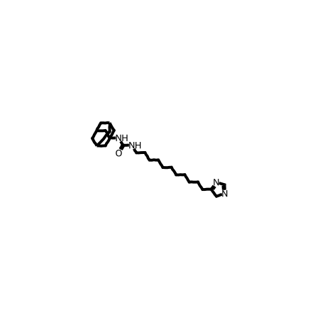 O=C(NCCCCCCCCCCCC1=NC=NC1)NC12CC3CC(CC(C3)C1)C2